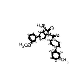 COc1cccc(-c2ncc3c(n2)n(C)c(=O)n3C(=O)N2CCN(c3cccc(C)c3)CC2)c1